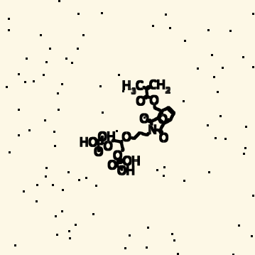 C=C(C)C(=O)OCC12C=CC(O1)C1C(=O)N(CCCOC(COP(=O)(O)O)COP(=O)(O)O)C(=O)C12